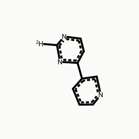 [2H]c1nccc(-c2cccnc2)n1